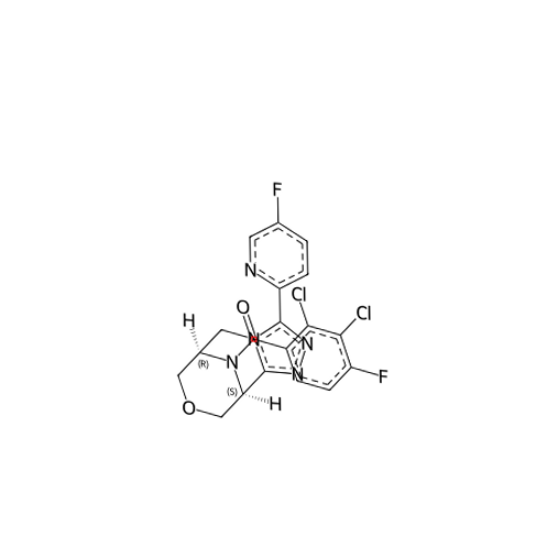 O=C(c1ccc(F)c(Cl)c1Cl)N1[C@H]2COC[C@@H]1c1nnc(-c3ccc(F)cn3)n1C2